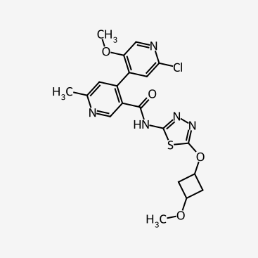 COc1cnc(Cl)cc1-c1cc(C)ncc1C(=O)Nc1nnc(OC2CC(OC)C2)s1